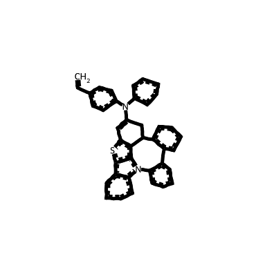 C=Cc1ccc(N(C2=Cc3sc4c5ccccc5n5c4c3C(C2)c2ccccc2-c2ccccc2-5)c2ccccc2)cc1